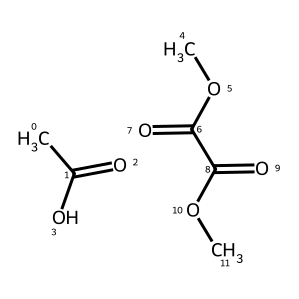 CC(=O)O.COC(=O)C(=O)OC